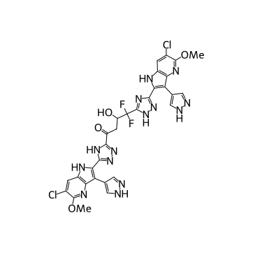 COc1nc2c(-c3cn[nH]c3)c(-c3n[nH]c(C(F)(F)C(O)CC(=O)c4nnc(-c5[nH]c6cc(Cl)c(OC)nc6c5-c5cn[nH]c5)[nH]4)n3)[nH]c2cc1Cl